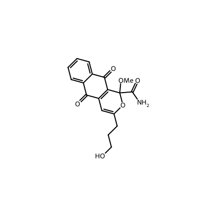 COC1(C(N)=O)OC(CCCO)=CC2=C1C(=O)c1ccccc1C2=O